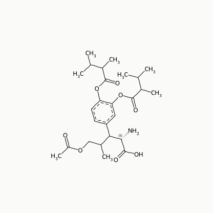 CC(=O)OCC(C)C(c1ccc(OC(=O)C(C)C(C)C)c(OC(=O)C(C)C(C)C)c1)[C@H](N)C(=O)O